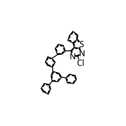 Clc1nc(-c2cccc(-c3cccc(-c4cc(-c5ccccc5)cc(-c5ccccc5)c4)c3)c2)c2c(n1)sc1ccccc12